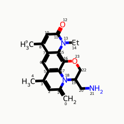 C=C1C=C(C)c2cc3c(C)cc(=O)n(CC)c3c3c2N1C(CN)CO3